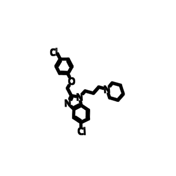 Clc1ccc(OCc2nc3cc(Cl)ccc3n2CCCN2CCCCC2)cc1